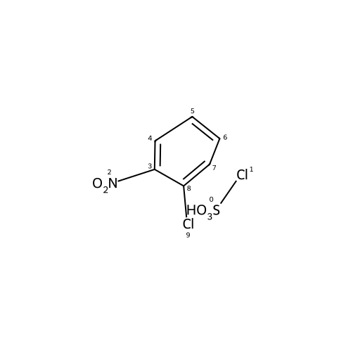 O=S(=O)(O)Cl.O=[N+]([O-])c1ccccc1Cl